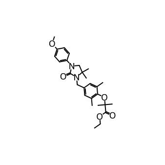 CCOC(=O)C(C)(C)Oc1c(C)cc(CN2C(=O)N(c3ccc(OC)cc3)CC2(C)C)cc1C